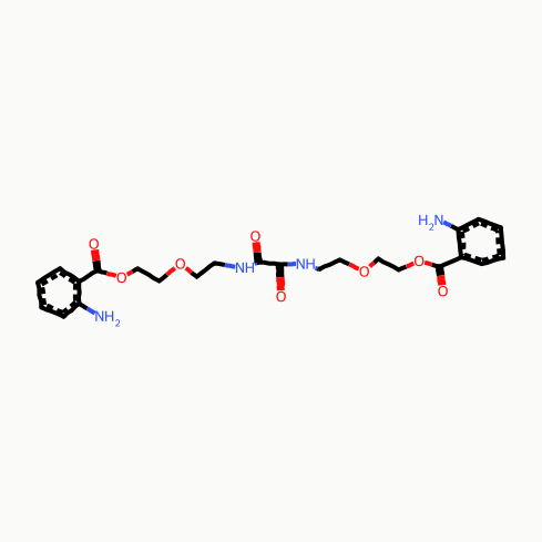 Nc1ccccc1C(=O)OCCOCCNC(=O)C(=O)NCCOCCOC(=O)c1ccccc1N